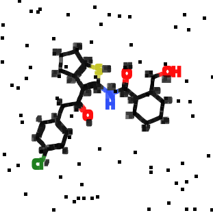 O=C(Cc1ccc(Cl)cc1)c1c(NC(=O)C2CCCCC2CO)sc2c1CCC2